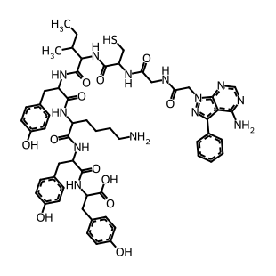 CCC(C)C(NC(=O)C(CS)NC(=O)CNC(=O)Cn1nc(-c2ccccc2)c2c(N)ncnc21)C(=O)NC(Cc1ccc(O)cc1)C(=O)NC(CCCCN)C(=O)NC(Cc1ccc(O)cc1)C(=O)NC(Cc1ccc(O)cc1)C(=O)O